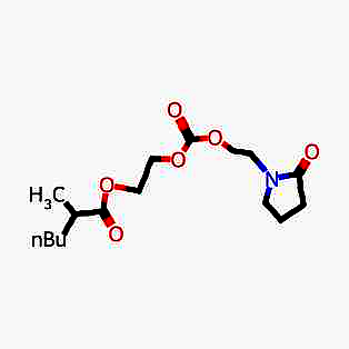 CCCCC(C)C(=O)OCCOC(=O)OCCN1CCCC1=O